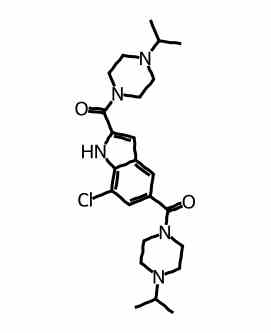 CC(C)N1CCN(C(=O)c2cc(Cl)c3[nH]c(C(=O)N4CCN(C(C)C)CC4)cc3c2)CC1